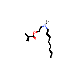 C=C(C)C(=O)OCCN(CC)CC=CCCC=CC